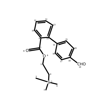 C[Si](C)(C)CCOC(=O)c1ccccc1-c1ccc(C=O)cc1